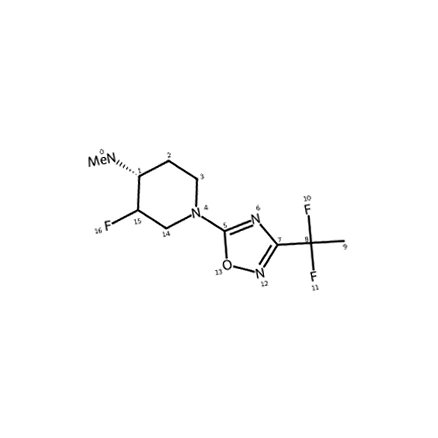 CN[C@@H]1CCN(c2nc(C(C)(F)F)no2)CC1F